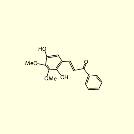 COc1c(O)cc(C=CC(=O)c2ccccc2)c(O)c1OC